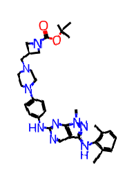 Cc1cccc(C)c1Nc1nn(C)c2nc(Nc3ccc(N4CCN(CC5CN(C(=O)OC(C)(C)C)C5)CC4)cc3)ncc12